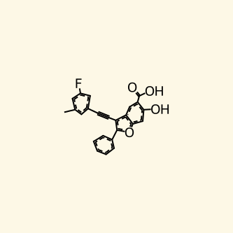 Cc1cc(F)cc(C#Cc2c(-c3ccccc3)oc3cc(O)c(C(=O)O)cc23)c1